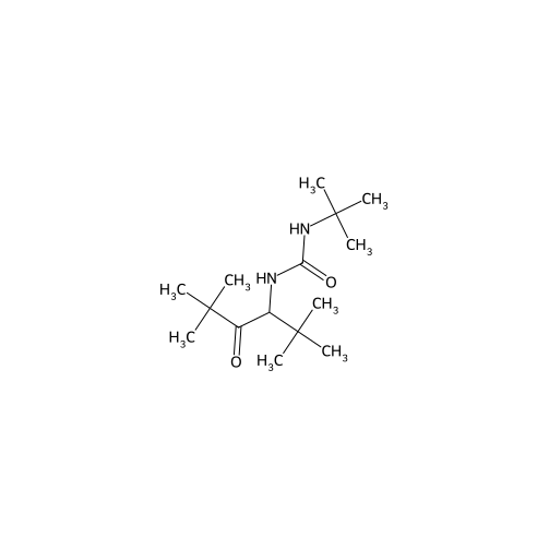 CC(C)(C)NC(=O)NC(C(=O)C(C)(C)C)C(C)(C)C